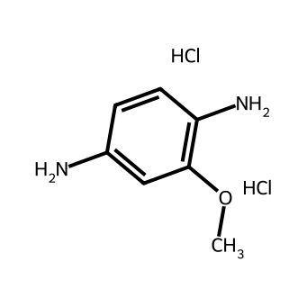 COc1cc(N)ccc1N.Cl.Cl